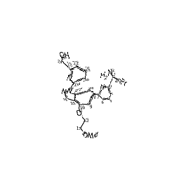 CCCC(N)c1cccc(-c2cc(OCCOC)c3cnn(-c4cccc(CO)n4)c3c2)n1